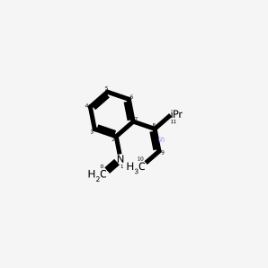 C=Nc1ccccc1/C(=C\C)C(C)C